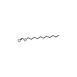 CCCCCCCCCCCOC=O